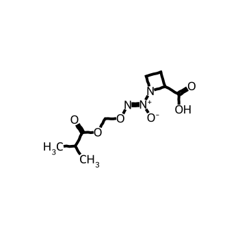 CC(C)C(=O)OCON=[N+]([O-])N1CCC1C(=O)O